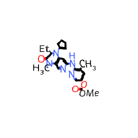 CC[C@@H]1C(=O)N(C)c2cnc(Nc3ncc(OC(=O)OC)cc3C)cc2N1C1CCCC1